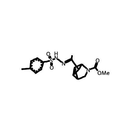 COC(=O)N1CC2C=CC1C(C(C)=NNS(=O)(=O)c1ccc(C)cc1)C2